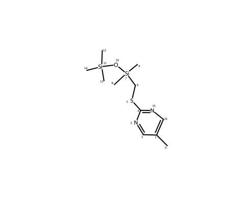 Cc1cnc(SC[Si](C)(C)O[Si](C)(C)C)nc1